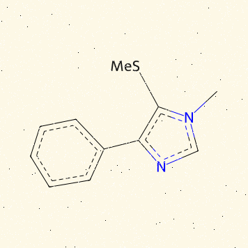 CSc1c(-c2ccccc2)ncn1C